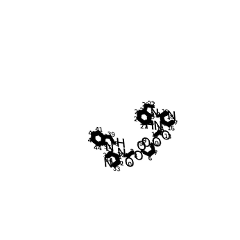 O=C(COC(=O)/C=C\C(=O)OCC(=O)Nc1ccncc1N1CCc2ccccc21)Nc1ccncc1N1CCc2ccccc21